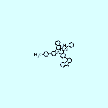 Cc1ccc(-c2ccc3c(c2)c2ccccc2n3-c2ccc(-c3cccc4sc5ccccc5c34)cc2-c2nc(-c3ccccc3)nc(-c3ccccc3)n2)cc1